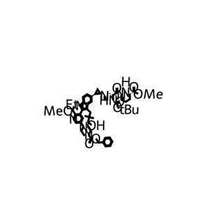 CCn1c(-c2cc(N3CCN(C(=O)OCc4ccccc4)CC3)cnc2[C@@H](C)OC)c(CC(C)(C)CO)c2cc([C@H]3C[C@@H]3N(C)C[C@@H](NC(=O)OC(C)(C)C)C(=O)N3CCC[C@@H](C(=O)OC)N3)ccc21